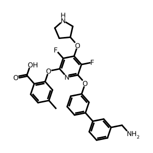 Cc1ccc(C(=O)O)c(Oc2nc(Oc3cccc(-c4cccc(CN)c4)c3)c(F)c(OC3CCNC3)c2F)c1